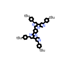 CC(C)(C)c1ccc(-c2cc3c4cc(-c5ccc(C(C)(C)C)cc5)nc5c6cc7c8nc(-c9ccc(C(C)(C)C)cc9)cc9c%10cc(-c%11ccc(C(C)(C)C)cc%11)ncc%10n(c7cc6n(c3cn2)c45)c98)cc1